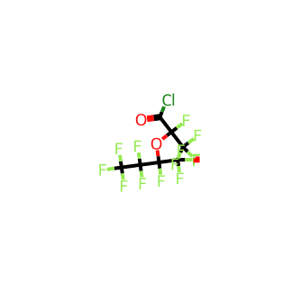 O=C(Cl)C(F)(OC(F)(C(F)(F)F)C(F)(F)C(F)(F)F)C(F)(F)F